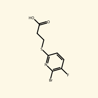 O=C(O)CCSc1ccc(F)c(Br)n1